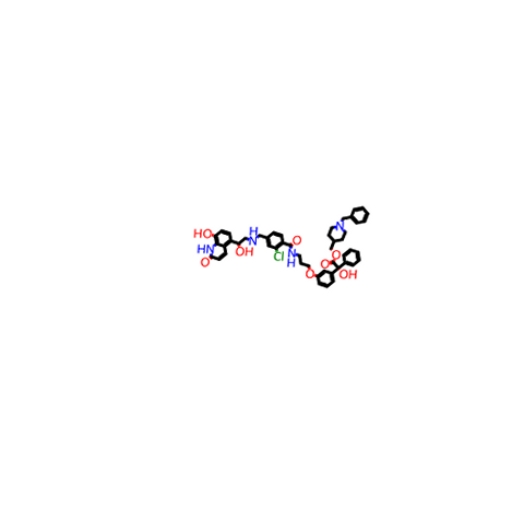 O=C(NCCCOc1cccc(C(O)(C(=O)OCC2CCN(Cc3ccccc3)CC2)c2ccccc2)c1)c1ccc(CNCC(O)c2ccc(O)c3[nH]c(=O)ccc23)cc1Cl